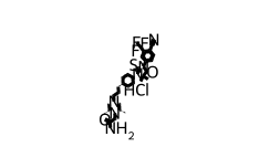 C[C@@H]1CN(CCC[C@H]2CC[C@H](N3C(=S)N(c4ccc(C#N)c(C(F)(F)F)c4)C(=O)C3(C)C)CC2)C[C@H](C)N1CC(N)=O.Cl